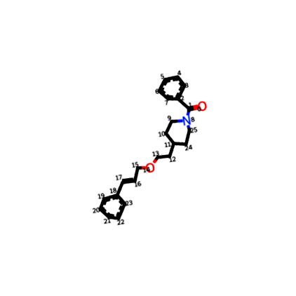 O=C(c1ccccc1)N1CCC(CCOCC=Cc2ccccc2)CC1